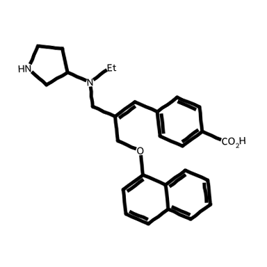 CCN(CC(=Cc1ccc(C(=O)O)cc1)COc1cccc2ccccc12)C1CCNC1